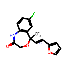 O=C1COC(/C=C/c2ccco2)(C(F)(F)F)c2cc(Cl)ccc2N1